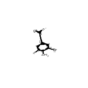 Cc1c(F)cc(C(=O)Cl)cc1Br